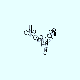 Cc1cc(CC(NC(=O)ON2CCC(N3Cc4ccccc4NC3=O)CC2)C(=O)N2CCC(N3CCCCC3)CC2)cc2oc(=O)[nH]c12